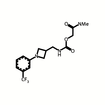 CNC(=O)COC(=O)NCC1CN(c2cccc(C(F)(F)F)c2)C1